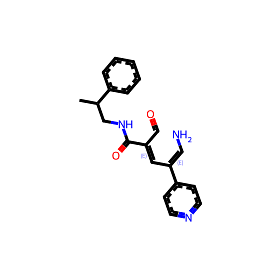 CC(CNC(=O)/C(C=O)=C/C(=C\N)c1ccncc1)c1ccccc1